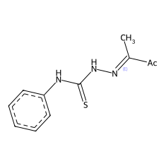 CC(=O)/C(C)=N/NC(=S)Nc1ccccc1